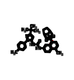 Cc1ccc(-n2nc(C(C)(C)C)cc2NC(=O)Nc2cccc(CC3CC4CCC(C3)N4S(=O)(=O)c3ccc(C)cc3)c2)cc1